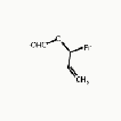 C=CC(O[C]=O)C(C)C